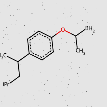 BC(C)Oc1ccc(C(C)CC(C)C)cc1